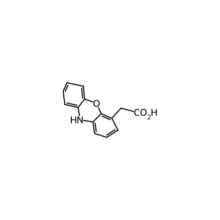 O=C(O)Cc1cccc2c1Oc1ccccc1N2